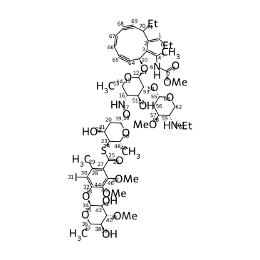 CC/C=C1\C(=C(/C)NC(=O)OC)[C@@H](O[C@@H]2O[C@@H](C)[C@@H](NO[C@H]3C[C@H](O)[C@H](SC(=O)c4c(C)c(I)c(O[C@@H]5O[C@@H](C)[C@H](O)[C@@H](OC)[C@H]5O)c(OC)c4OC)[C@@H](C)O3)[C@H](O)[C@H]2O[C@H]2C[C@H](OC)[C@@H](NCC)CO2)C#C/C=C\C#CC1CC